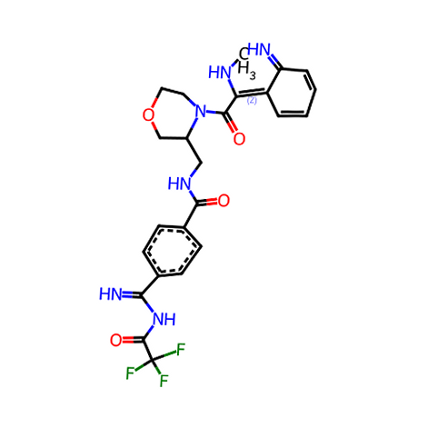 CN/C(C(=O)N1CCOCC1CNC(=O)c1ccc(C(=N)NC(=O)C(F)(F)F)cc1)=C1/C=CC=CC1=N